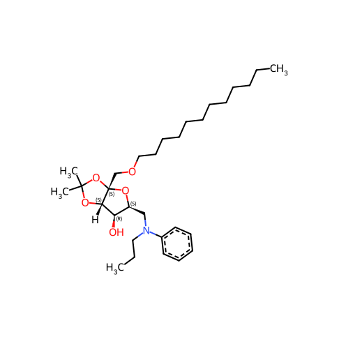 CCCCCCCCCCCCOC[C@@]12O[C@@H](CN(CCC)c3ccccc3)[C@@H](O)[C@@H]1OC(C)(C)O2